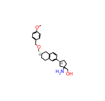 COc1ccc(COC[C@H]2CCc3cc([C@H]4CC[C@](N)(CO)C4)ccc3C2)cc1